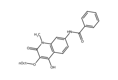 CCCCCCCCOc1c(O)c2ccc(NC(=O)c3ccccc3)cc2n(C)c1=O